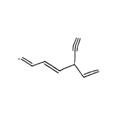 [CH]=C/C=C/C(C#C)C=C